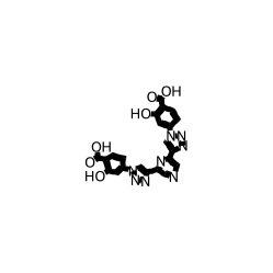 O=C(O)c1ccc(-n2cc(-c3cncc(-c4cn(-c5ccc(C(=O)O)c(O)c5)nn4)n3)nn2)cc1O